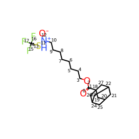 O=C(OCCCCCCCC[NH+]([O-])SC(F)(F)F)C12CC3CC(CC(C3)C1)C2